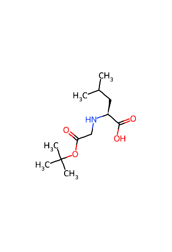 CC(C)C[C@H](NCC(=O)OC(C)(C)C)C(=O)O